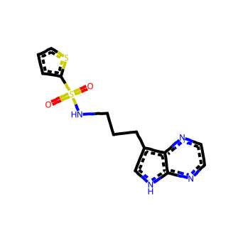 O=S(=O)(NCCCc1c[nH]c2nccnc12)c1cccs1